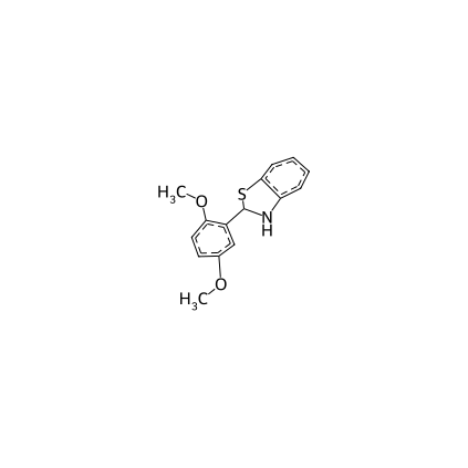 COc1ccc(OC)c(C2Nc3ccccc3S2)c1